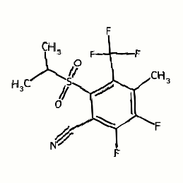 Cc1c(F)c(F)c(C#N)c(S(=O)(=O)C(C)C)c1C(F)(F)F